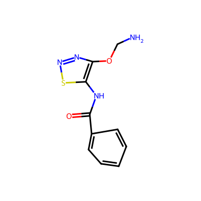 NCOc1nnsc1NC(=O)c1ccccc1